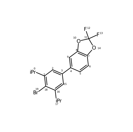 CC(C)c1cc(-c2ccc3c(c2)OC(F)(F)O3)cc(C(C)C)c1Br